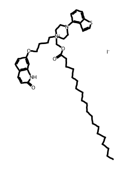 CCCCCCCCCCCCCCCCCCCC(=O)OC[N+]1(CCCCOc2ccc3ccc(=O)[nH]c3c2)CCN(c2cccc3sccc23)CC1.[I-]